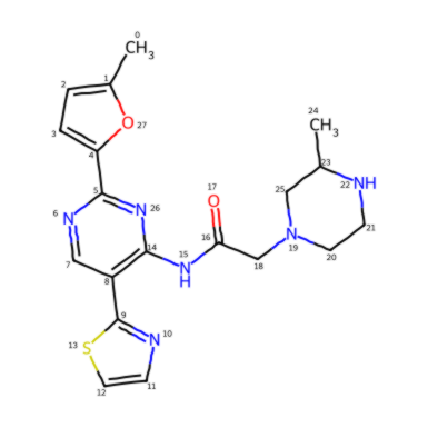 Cc1ccc(-c2ncc(-c3nccs3)c(NC(=O)CN3CCNC(C)C3)n2)o1